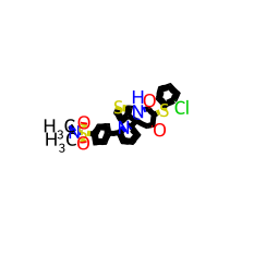 CN(C)S(=O)(=O)c1ccc(-c2cccc(C3(c4ccsc4)CC(=O)C(Sc4ccccc4Cl)C(=O)N3)n2)cc1